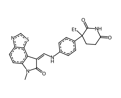 CCC1(c2ccc(N/C=C3\C(=O)N(C)c4ccc5ncsc5c43)cc2)CCC(=O)NC1=O